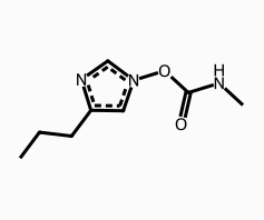 CCCc1cn(OC(=O)NC)cn1